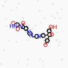 COc1ccc(C2COc3cc(O)ccc3C2c2ccc(N3CCC(CN4CCN(c5ccc6c(c5)CN([C@H]5CCC(=O)NC5=O)C6=O)CC4)CC3)cc2)cc1